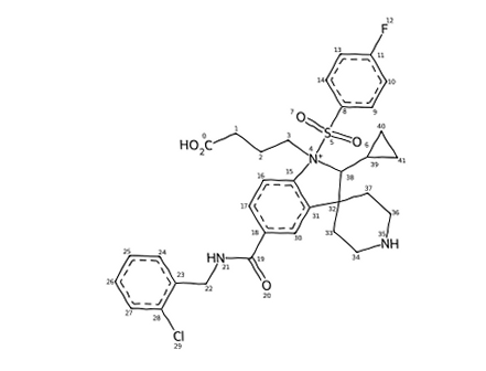 O=C(O)CCC[N+]1(S(=O)(=O)c2ccc(F)cc2)c2ccc(C(=O)NCc3ccccc3Cl)cc2C2(CCNCC2)C1C1CC1